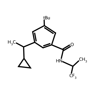 CC(c1cc(C(=O)NC(C)C(F)(F)F)cc(C(C)(C)C)c1)C1CC1